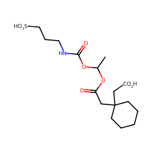 CC(OC(=O)CC1(CC(=O)O)CCCCC1)OC(=O)NCCCS(=O)(=O)O